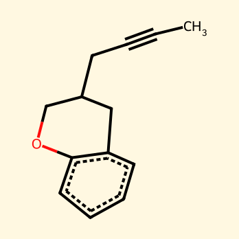 CC#CCC1COc2ccccc2C1